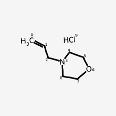 C=CCN1CCOCC1.Cl